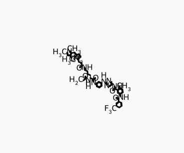 C=CC(=O)N[C@@H](CCCCNC(=O)CCC1=[N+](C)/C(=C\c2c(C)cc(C)n2C)C=C1)C(=O)Nc1cccc(Nc2ncc(NC(=O)c3cc(NC(=O)C4=CC(C(F)(F)F)CC=C4)ccc3C)cn2)c1